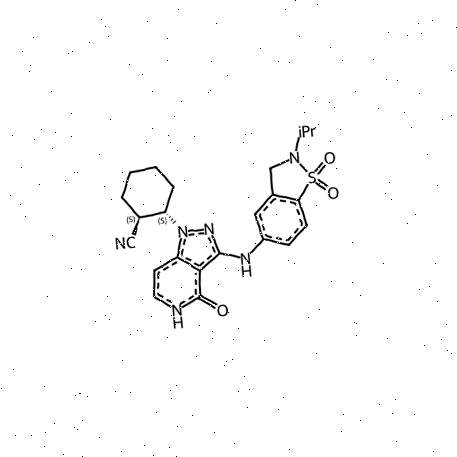 CC(C)N1Cc2cc(Nc3nn([C@H]4CCCC[C@@H]4C#N)c4cc[nH]c(=O)c34)ccc2S1(=O)=O